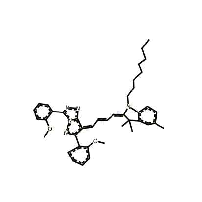 CCCCCCCCN1/C(=C/C=C/C=c2/c(-c3ccccc3OC)nn3c(-c4ccccc4OC)nnc23)C(C)(C)c2cc(C)ccc21